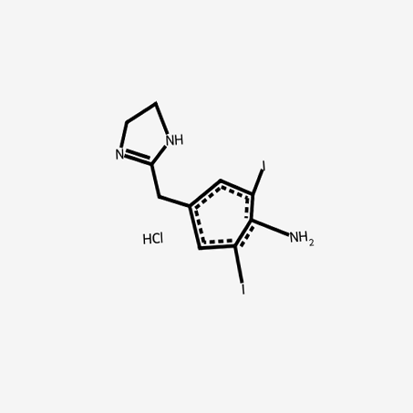 Cl.Nc1c(I)cc(CC2=NCCN2)cc1I